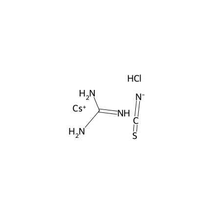 Cl.N=C(N)N.[Cs+].[N-]=C=S